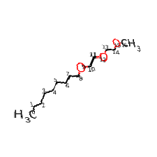 CCCCCCCCCOCCOCCOC